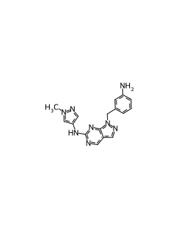 Cn1cc(Nc2ncc3cnn(Cc4cccc(N)c4)c3n2)cn1